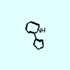 C1=CC=C(C2=CCCC2)NC=C1